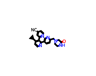 N#Cc1ccnc(-c2c(C3CC3)c[c]nc2-c2ccc(CN3CCNC(=O)C3)nc2)c1